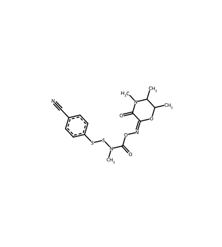 CC1OC(=NOC(=O)N(C)SSc2ccc(C#N)cc2)C(=O)N(C)C1C